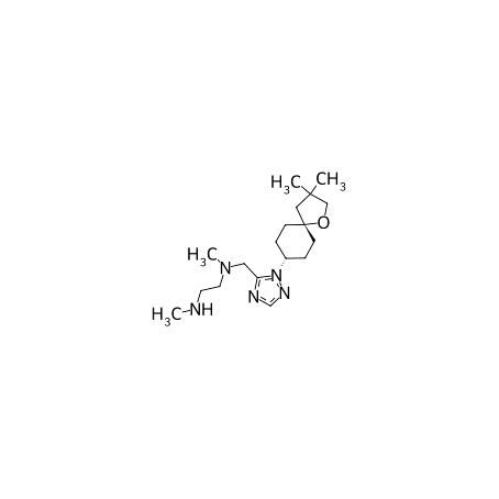 CNCCN(C)Cc1ncnn1[C@H]1CC[C@@]2(CC1)CC(C)(C)CO2